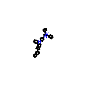 c1ccc(-c2cc(-c3ccc(-n4c5ccccc5c5c6ccc(-c7ccc8ccccc8c7)cc6ccc54)cc3)nc(-c3ccccc3)n2)cc1